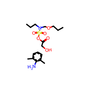 CCCOCN(CCC)S(=O)(=O)OC(=O)CO.Cc1cccc(C)c1N